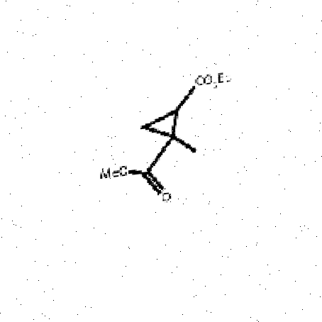 CCOC(=O)C1CC1(C)C(=O)OC